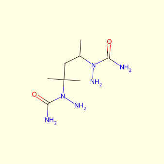 CC(CC(C)(C)N(N)C(N)=O)N(N)C(N)=O